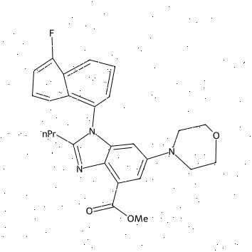 CCCc1nc2c(C(=O)OC)cc(N3CCOCC3)cc2n1-c1cccc2c(F)cccc12